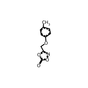 Cc1ccc(OCc2noc(=O)o2)cc1